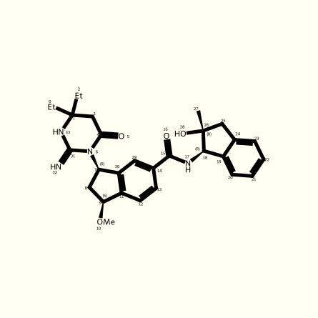 CCC1(CC)CC(=O)N([C@@H]2C[C@H](OC)c3ccc(C(=O)N[C@@H]4c5ccccc5C[C@@]4(C)O)cc32)C(=N)N1